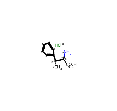 C[C@H](c1ccccc1)[C@@H](N)C(=O)O.Cl